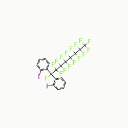 FC(F)(F)C(F)(F)C(F)(F)C(F)(F)C(F)(F)C(F)(F)C(F)(F)C(F)(c1ccccc1I)c1ccccc1I